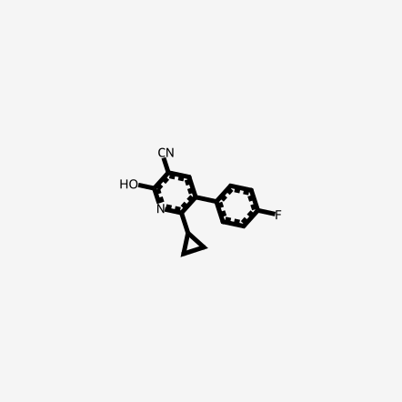 N#Cc1cc(-c2ccc(F)cc2)c(C2CC2)nc1O